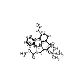 COC(=O)C1CC(C(=O)OC(C)(C)C)N(c2c(C(=O)O)ccc(CC=O)c2NC(N)=O)C1c1ccccc1